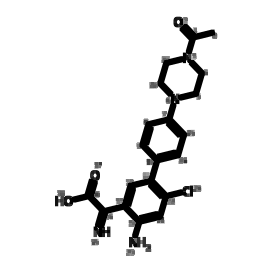 CC(=O)N1CCN(c2ccc(-c3cc(C(=N)C(=O)O)c(N)cc3Cl)cc2)CC1